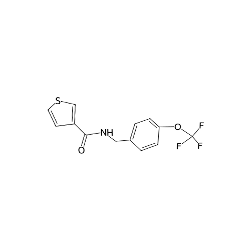 O=C(NCc1ccc(OC(F)(F)F)cc1)c1ccsc1